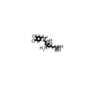 CN(CCCC(N)(CCCCB(O)O)C(=O)O)Cc1ccc(Cl)c(Cl)c1